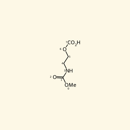 COC(=O)NCCOC(=O)O